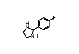 Fc1ccc(C2NCCN2)cc1